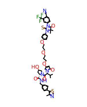 Cc1ncsc1-c1ccc(CNC(=O)[C@@H]2C[C@@H](O)CN2C(=O)C(C(C)C)N2CC(OCCCOCCCOc3ccc(N4C(=S)N(c5ccc(C#N)c(C(F)(F)F)c5)C(=O)C4(C)C)cc3)=CC2=O)cc1